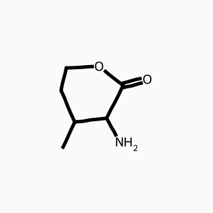 CC1CCOC(=O)C1N